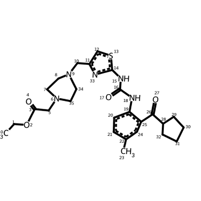 CCOC(=O)CN1CCN(Cc2csc(NC(=O)Nc3ccc(C)cc3C(=O)C3CCCC3)n2)CC1